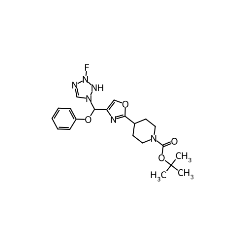 CC(C)(C)OC(=O)N1CCC(c2nc(C(Oc3ccccc3)N3C=NN(F)N3)co2)CC1